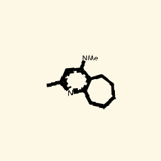 CNc1cc(C)nc2c1CCCCC2